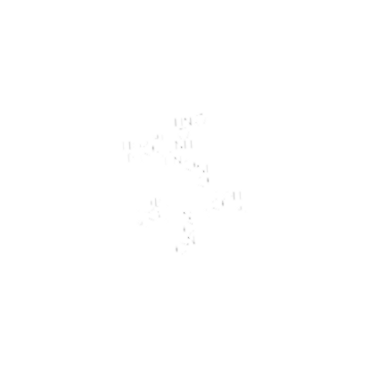 CC(CNc1ccc(Nc2ccccc2)cc1)(CNc1ccc(Nc2cccc(CC(C)(C)c3cc(SCCCN(CCCSc4cc(C(C)(C)C)c(O)c(C(C)(C)C)c4)c4ccc(Nc5ccccc5)cc4)cc(C(C)(C)C)c3O)c2)cc1)CSc1cc(C(C)(C)C)c(O)c(C(C)(C)C)c1